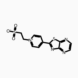 O=S(=O)([O-])CC[n+]1ccc(-c2nc3nccnc3s2)cc1